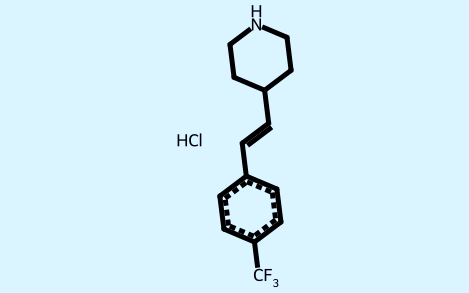 Cl.FC(F)(F)c1ccc(C=CC2CCNCC2)cc1